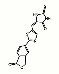 O=C1NC(=S)N/C1=C/c1cnc(-c2ccc3c(c2)COC3=O)s1